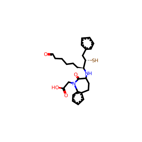 O=CCCCCC[C@H](NC1CCc2ccccc2N(CC(=O)O)C1=O)[C@@H](S)Cc1ccccc1